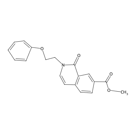 COC(=O)c1ccc2ccn(CCOc3ccccc3)c(=O)c2c1